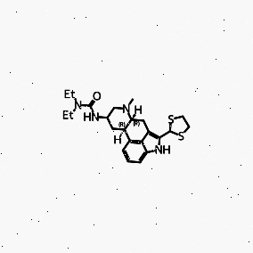 CCN(CC)C(=O)NC1C[C@@H]2c3cccc4[nH]c(C5SCCS5)c(c34)C[C@H]2N(C)C1